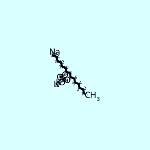 CCCCCCCCCCCCCCC[CH2][Na].O=S(=O)([O-])[O-].[K+].[K+]